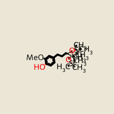 COc1cc(CCC[Si](C)(O[Si](C)(C)C)O[Si](C)(C)C)ccc1O